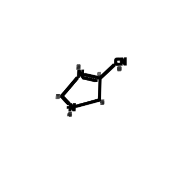 N#CC1=NC[N]C1